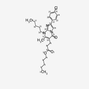 CCCCCOC(=O)CCc1c(C)n(CCCCC)c2nc(-c3ccc(Cl)cc3)cn2c1=O